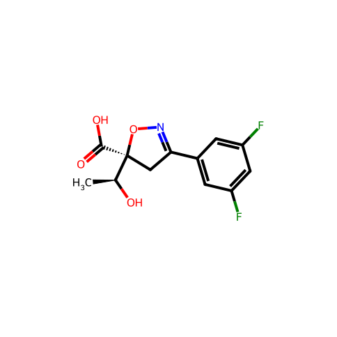 C[C@H](O)[C@]1(C(=O)O)CC(c2cc(F)cc(F)c2)=NO1